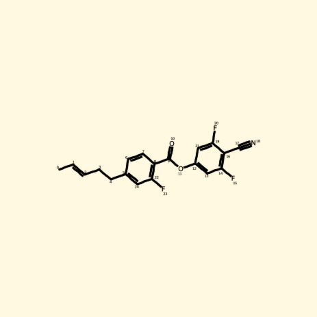 CC=CCCc1ccc(C(=O)Oc2cc(F)c(C#N)c(F)c2)c(F)c1